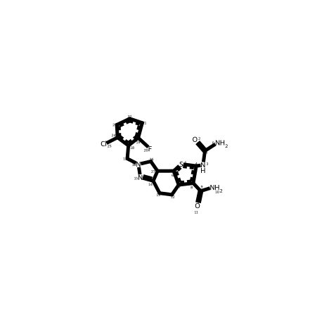 NC(=O)Nc1sc2c(c1C(N)=O)CCC1=NN(Cc3c(F)cccc3Cl)CC12